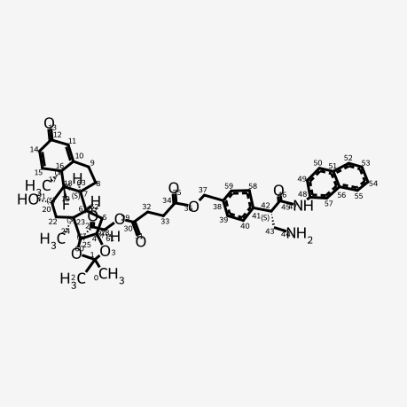 CC1(C)O[C@@H]2C[C@H]3[C@@H]4CCC5=CC(=O)C=C[C@]5(C)[C@@]4(F)[C@@H](O)C[C@]3(C)[C@]2(C(=O)COC(=O)CCC(=O)OCc2ccc([C@@H](CN)C(=O)Nc3ccc4ccccc4c3)cc2)O1